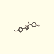 CCN1CCC(N(C)c2ccc(-c3ccc(C(F)(F)F)cc3)s2)CC1